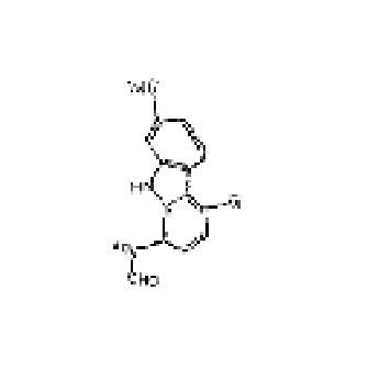 COc1ccc2c(c1)[nH]c1c(NC=O)ccc(Br)c12